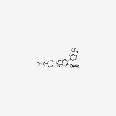 COc1cc2nn(C3CCC(C=O)CC3)cc2cc1-c1cccc(C(F)(F)F)n1